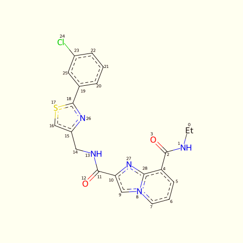 CCNC(=O)c1cccn2cc(C(=O)NCc3csc(-c4cccc(Cl)c4)n3)nc12